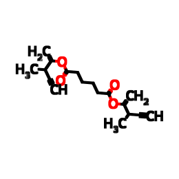 C#CC(C)C(=C)OC(=O)CCCCC(=O)OC(=C)C(C)C#C